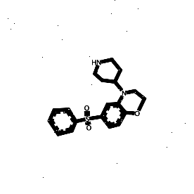 O=S(=O)(c1ccccc1)c1ccc2c(c1)N(C1CCNCC1)CCO2